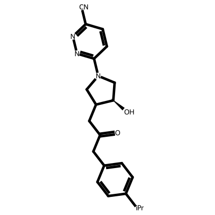 CC(C)c1ccc(CC(=O)CC2CN(c3ccc(C#N)nn3)C[C@H]2O)cc1